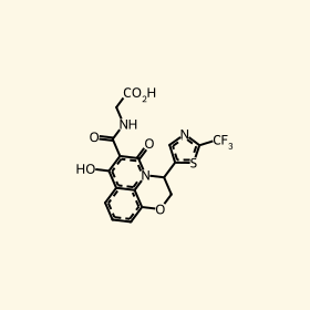 O=C(O)CNC(=O)c1c(O)c2cccc3c2n(c1=O)C(c1cnc(C(F)(F)F)s1)CO3